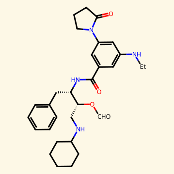 CCNc1cc(C(=O)N[C@@H](Cc2ccccc2)[C@@H](CNC2CCCCC2)OC=O)cc(N2CCCC2=O)c1